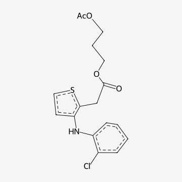 CC(=O)OCCCOC(=O)Cc1sccc1Nc1ccccc1Cl